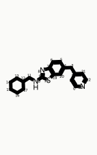 c1cc(Cc2ccc3nc(NCC4CCCCC4)sc3c2)ccn1